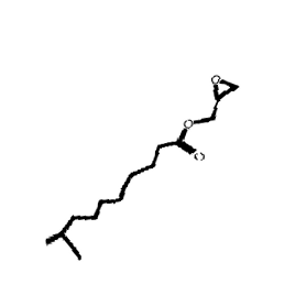 CC(C)CCCCC[CH]CC(=O)OC[C@@H]1CO1